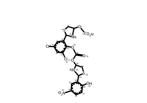 O=C(O)OC1CSC(c2cc(Cl)cc(Cl)c2OC(=O)OC2CSC(c3cc([N+](=O)[O-])ccc3O)N2)N1